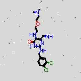 CN(C)CCOCCNc1c(C=N)nc(NCc2ccc(Cl)c(Cl)c2)[nH]c1=O